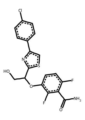 NC(=O)c1c(F)ccc(OC(CO)c2nc(-c3ccc(Cl)cc3)cs2)c1F